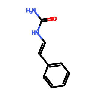 NC(=O)NC=Cc1ccccc1